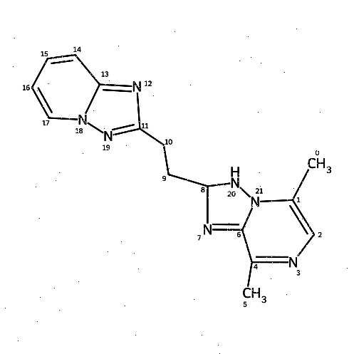 CC1=CN=C(C)C2=NC(CCc3nc4ccccn4n3)NN12